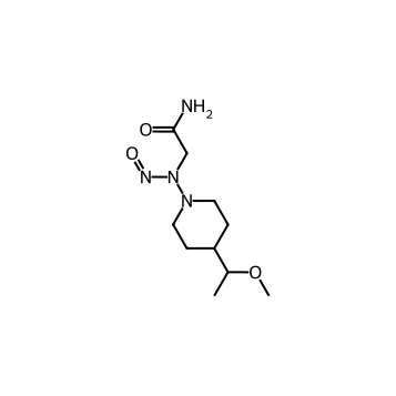 COC(C)C1CCN(N(CC(N)=O)N=O)CC1